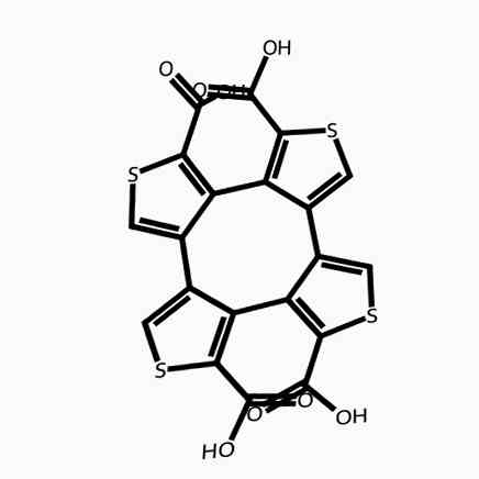 O=C(O)c1scc2c1-c1c(csc1C(=O)O)-c1csc(C(=O)O)c1-c1c-2csc1C(=O)O